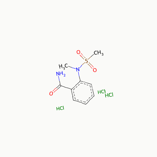 CN(c1ccccc1C(N)=O)S(C)(=O)=O.Cl.Cl.Cl